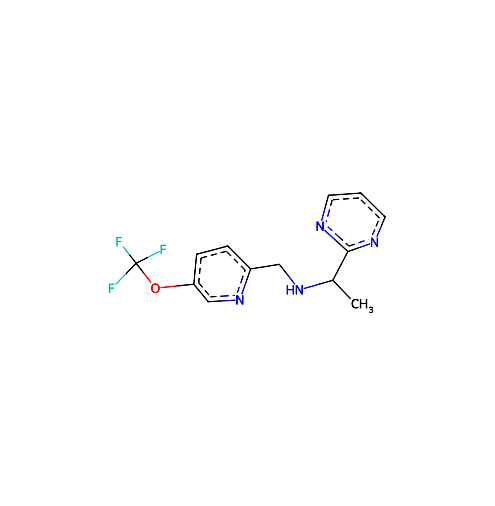 CC(NCc1ccc(OC(F)(F)F)cn1)c1ncccn1